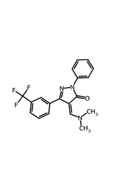 CN(C)C=C1C(=O)N(c2ccccc2)N=C1c1cccc(C(F)(F)F)c1